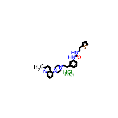 Cc1ccc2c(N3CCN(CCc4cccc(NC(=O)NCCc5cccs5)c4)CC3)cccc2n1.Cl.Cl